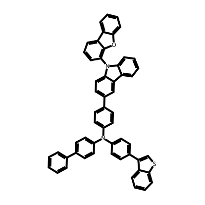 c1ccc(-c2ccc(N(c3ccc(-c4ccc5c(c4)c4ccccc4n5-c4cccc5c4oc4ccccc45)cc3)c3ccc(-c4csc5ccccc45)cc3)cc2)cc1